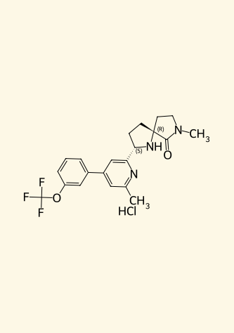 Cc1cc(-c2cccc(OC(F)(F)F)c2)cc([C@@H]2CC[C@]3(CCN(C)C3=O)N2)n1.Cl